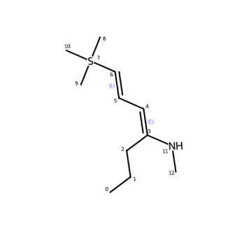 CCC/C(=C\C=C\S(C)(C)C)NC